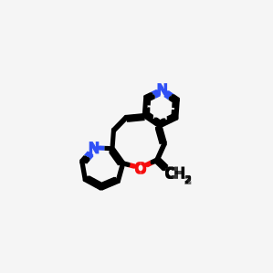 C=C1/C=c2/ccnc/c2=C/CC2=C(C=C=CC=N2)O1